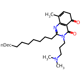 CCCCCCCCCCCCCCCCCc1nc2c(c(=O)n1CCCN(C)C)C(=O)CC=C2C